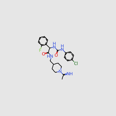 CC(=N)N1CCC(CNC(=O)C(NC(=O)Nc2ccc(Cl)cc2)c2ccccc2F)CC1